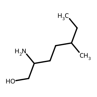 CCC(C)CCC(N)CO